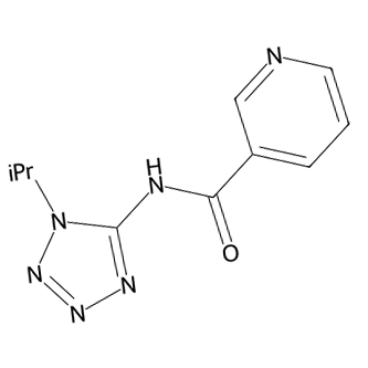 CC(C)n1nnnc1NC(=O)c1cccnc1